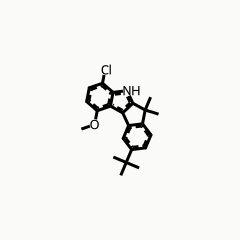 COc1ccc(Cl)c2[nH]c3c(c12)-c1cc(C(C)(C)C)ccc1C3(C)C